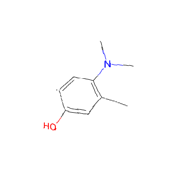 Cc1cc(O)[c]cc1N(C)C